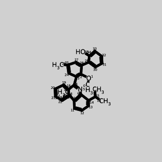 COc1c(C(=Nc2c(C(C)C)cccc2C(C)C)c2ccccc2)cc(C)cc1-c1ccccc1O